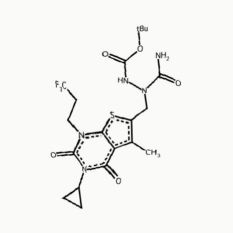 Cc1c(CN(NC(=O)OC(C)(C)C)C(N)=O)sc2c1c(=O)n(C1CC1)c(=O)n2CCC(F)(F)F